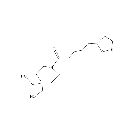 O=C(CCCCC1CCSS1)N1CCC(CO)(CO)CC1